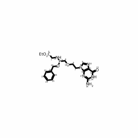 CCOC(=O)CNP(COCCn1cnc2c(=O)[nH]c(N)nc21)OCc1ccccc1